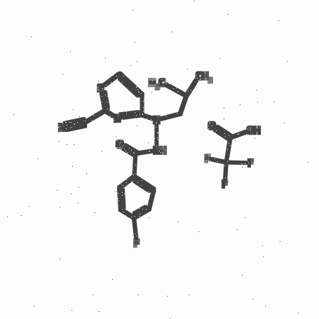 CC(C)CN(NC(=O)c1ccc(F)cc1)c1ccnc(C#N)n1.O=C(O)C(F)(F)F